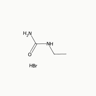 Br.CCNC(N)=O